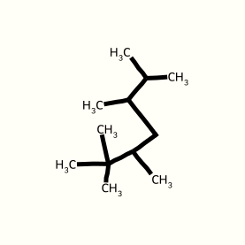 CC(C)C(C)CC(C)C(C)(C)C